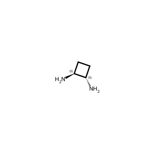 N[C@H]1CC[C@@H]1N